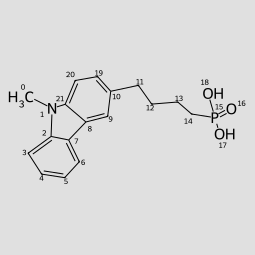 Cn1c2ccccc2c2cc(CCCCP(=O)(O)O)ccc21